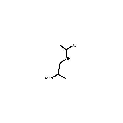 CNC(C)CNC(C)C(C)=O